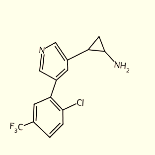 NC1CC1c1cncc(-c2cc(C(F)(F)F)ccc2Cl)c1